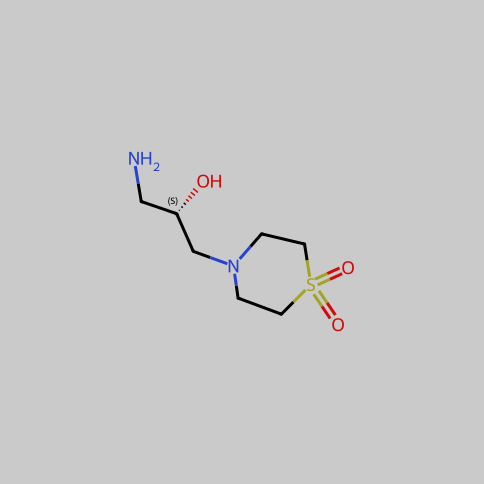 NC[C@H](O)CN1CCS(=O)(=O)CC1